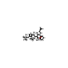 CS(=O)(=O)NCc1csc2c1S(=O)(=O)N=C(C1=C(O)C3C4CCC(CC4)C3N(CCC3CC3)C1=O)N2